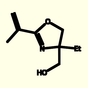 C=C(C)C1=NC(CC)(CO)CO1